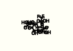 O=P(O)(O)O[C@@H]1[C@@H](O)[C@H](OP(=O)(O)C(F)F)[C@@H](OP(=O)(O)O)[C@H](O)[C@@H]1O